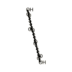 O=C(CSCSCSCCOOCSCSCSCOC(=O)CSCSCSCCOOCCO)OCCO